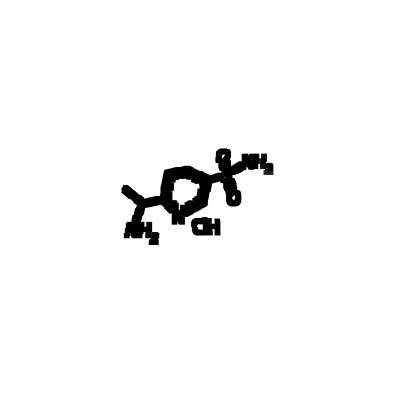 CC(N)c1ccc(S(N)(=O)=O)cn1.Cl